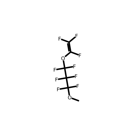 COC(F)(F)C(F)(F)C(F)(F)OC(F)=C(F)F